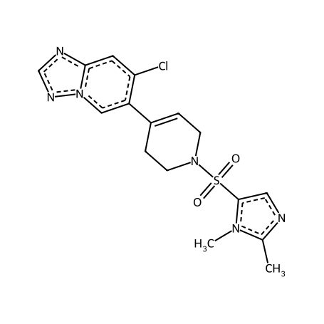 Cc1ncc(S(=O)(=O)N2CC=C(c3cn4ncnc4cc3Cl)CC2)n1C